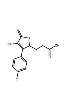 O=C(O)CCC1OC(=O)C(O)=C1c1ccc(Cl)cc1